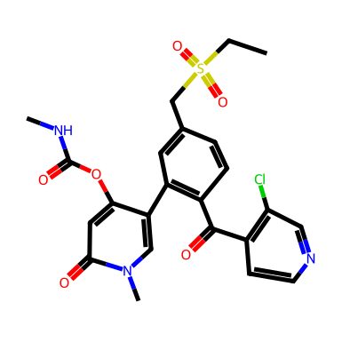 CCS(=O)(=O)Cc1ccc(C(=O)c2ccncc2Cl)c(-c2cn(C)c(=O)cc2OC(=O)NC)c1